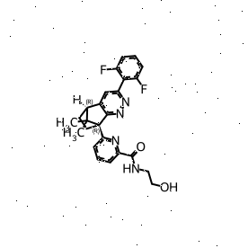 CC1(C)[C@H]2CC[C@@]1(c1cccc(C(=O)NCCO)n1)c1nnc(-c3c(F)cccc3F)cc12